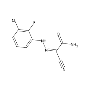 N#C/C(=N/Nc1cccc(Cl)c1F)C(N)=O